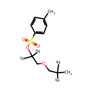 [2H]C([2H])(C)COCC([2H])([2H])OS(=O)(=O)c1ccc(C)cc1